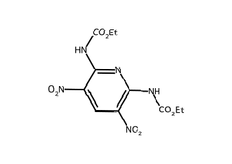 CCOC(=O)Nc1nc(NC(=O)OCC)c([N+](=O)[O-])cc1[N+](=O)[O-]